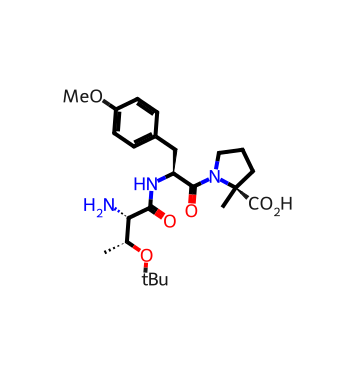 COc1ccc(C[C@H](NC(=O)[C@@H](N)[C@@H](C)OC(C)(C)C)C(=O)N2CCC[C@@]2(C)C(=O)O)cc1